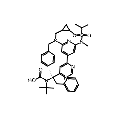 CC1CC1CN(Cc1ccccc1)c1cc(-c2cc([C@@](C)(Cc3ccccc3)N(C(=O)O)C(C)(C)C)ncn2)cc(N(C)S(=O)(=O)C(C)C)n1